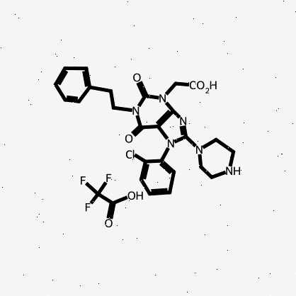 O=C(O)C(F)(F)F.O=C(O)Cn1c(=O)n(CCc2ccccc2)c(=O)c2c1nc(N1CCNCC1)n2-c1ccccc1Cl